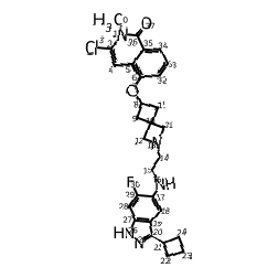 Cn1c(Cl)cc2c(OC3CC4(C3)CN(CCNc3cc5c(C6CCC6)n[nH]c5cc3F)C4)cccc2c1=O